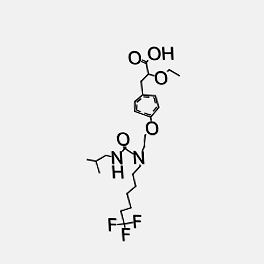 CCOC(Cc1ccc(OCCN(CCCCCCC(F)(F)F)C(=O)NCC(C)C)cc1)C(=O)O